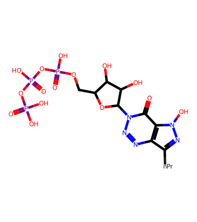 CCCc1nn(O)c2c(=O)n(C3OC(COP(=O)(O)OP(=O)(O)OP(=O)(O)O)C(O)C3O)nnc12